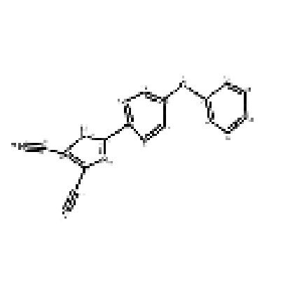 N#Cc1nc(-c2ccc(Oc3ccccc3)cc2)[nH]c1C#N